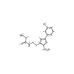 CCOC(=O)c1cc(-c2ccnc(Cl)c2)nn1CCNC(=O)OC(C)(C)C